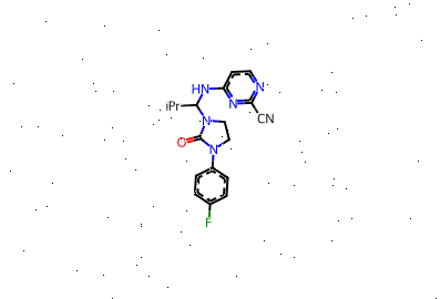 CC(C)C(Nc1ccnc(C#N)n1)N1CCN(c2ccc(F)cc2)C1=O